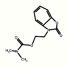 CN(C)C(=O)OCCn1c(=O)oc2ccccc21